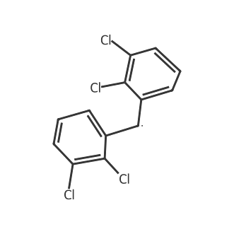 Clc1cccc([CH]c2cccc(Cl)c2Cl)c1Cl